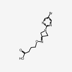 O=C(O)CCCON=C1CN(c2ncc(Br)cn2)C1